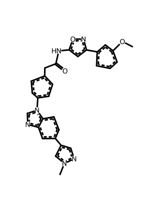 COc1cccc(-c2cc(NC(=O)Cc3ccc(-n4cnc5cc(-c6cnn(C)c6)ccc54)cc3)on2)c1